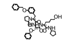 O=C(NC1CCCC1)[C@H](CCCCO)NC(=O)[C@H](COc1ccccc1)NC(=O)[C@H](Cc1cccc(OCc2ccccc2)c1)N1CCCC1=O